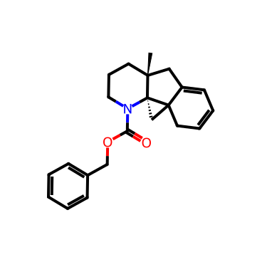 C[C@]12CCCN(C(=O)OCc3ccccc3)[C@@]13CC31CC=CC=C1C2